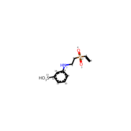 C=CS(=O)(=O)CCNc1cccc(S(=O)(=O)O)c1